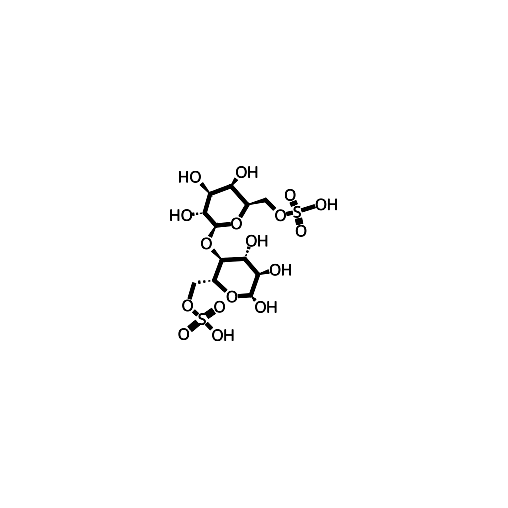 O=S(=O)(O)OC[C@H]1O[C@@H](O[C@H]2[C@H](O)[C@@H](O)[C@H](O)O[C@@H]2COS(=O)(=O)O)[C@H](O)[C@@H](O)[C@H]1O